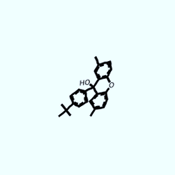 Cc1ccc2c(c1)C(O)(c1ccc(C(C)(C)C)cc1)c1cc(C)ccc1O2